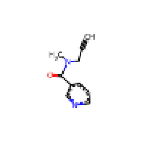 C#CCN(C)C(=O)c1cccnc1